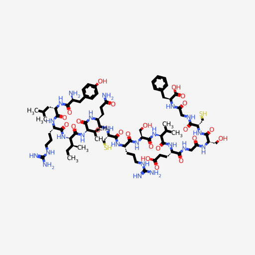 CC[C@H](C)[C@H](NC(=O)[C@H](CCCNC(=N)N)NC(=O)[C@H](CC(C)C)NC(=O)[C@@H](N)Cc1ccc(O)cc1)C(=O)N[C@H](C(=O)N[C@@H](CCC(N)=O)C(=O)N[C@@H](CS)C(=O)N[C@@H](CCCNC(=N)N)C(=O)N[C@@H](CO)C(=O)N[C@H](C(=O)N[C@@H](CCC(=O)O)C(=O)NCC(=O)N[C@@H](CO)C(=O)N[C@@H](CS)C(=O)NCC(=O)N[C@@H](Cc1ccccc1)C(=O)O)C(C)C)C(C)C